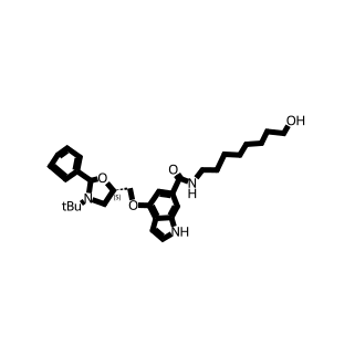 CC(C)(C)N1C[C@@H](COc2cc(C(=O)NCCCCCCCCO)cc3[nH]ccc23)OC1c1ccccc1